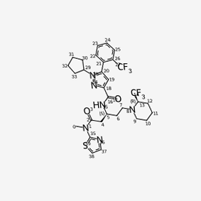 CN(C(=O)C[C@H](CCN1CCCC[C@@H]1C(F)(F)F)NC(=O)c1cc(-c2ccccc2C(F)(F)F)n(C2CCCC2)n1)c1nccs1